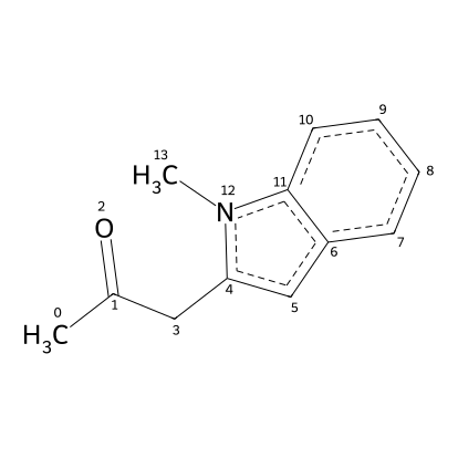 CC(=O)Cc1cc2ccccc2n1C